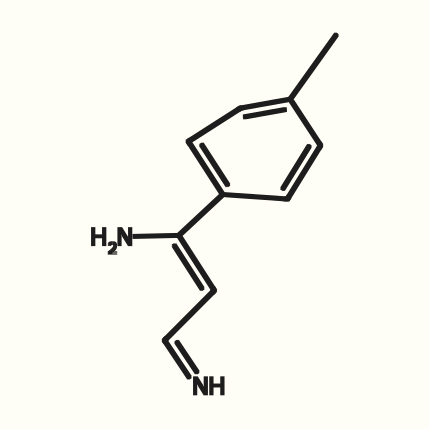 Cc1ccc(/C(N)=C/C=N)cc1